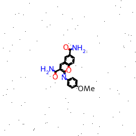 COc1ccc(/N=c2\oc3ccc(C(N)=O)cc3cc2C(N)=O)cc1